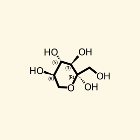 OC[C@@]1(O)OC[C@@H](O)[C@H](O)[C@H]1O